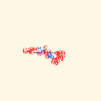 CC(C)C(=O)CCCC(=O)NC(COCCC(=O)NCCCCCCO[C@@H]1OC(CO)[C@H](O)[C@H](O)C1C)(COCCC(=O)NCCCCCCO[C@@H]1OC(CO)[C@H](O)[C@H](O)C1C)COCCC(=O)NCCCCCCO[C@@H]1OC(CO)[C@H](O)[C@H](O)C1C